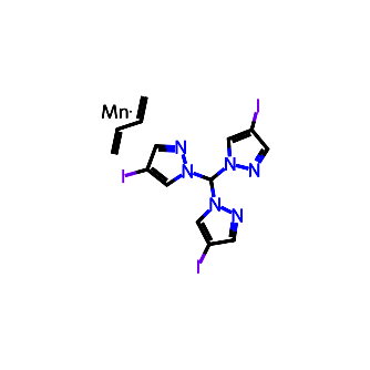 C=CC=C.Ic1cnn(C(n2cc(I)cn2)n2cc(I)cn2)c1.[Mn]